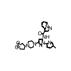 Cc1ccc(-n2nc(N3CCN([C@H]4CCS(=O)(=O)C4)CC3)cc2NC(=O)c2cnn3ccccc23)nc1